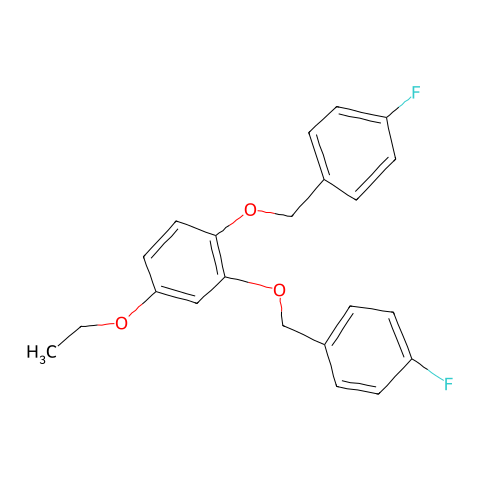 CCOc1ccc(OCc2ccc(F)cc2)c(OCc2ccc(F)cc2)c1